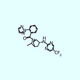 CC1C2CC([C@@H](Nc3ncc(C(F)(F)F)cn3)C2)N1C(=O)c1ccccc1-n1nccn1